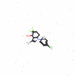 O=[N+]([O-])C1(n2cc(C(F)(F)F)c3c2CCC(F)(F)C3O)C=CC(Cl)=CC1